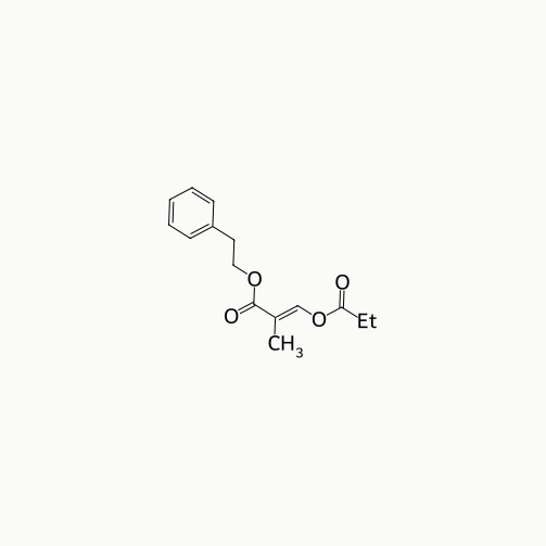 CCC(=O)OC=C(C)C(=O)OCCc1ccccc1